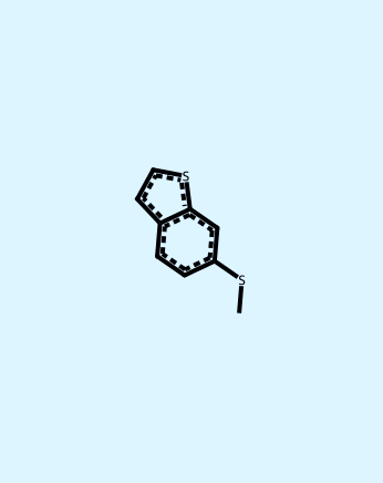 CSc1ccc2ccsc2c1